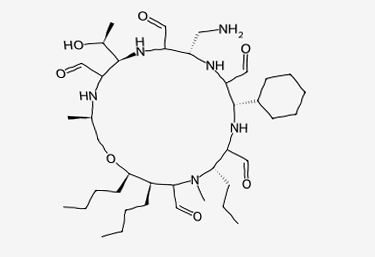 CCCC[C@@H]1C(C=O)N(C)[C@@H](CCC)C(C=O)N[C@@H](C2CCCCC2)C(C=O)N[C@@H](CN)C(C=O)N[C@H]([C@H](C)O)C(C=O)N[C@H](C)CO[C@@H]1CCCC